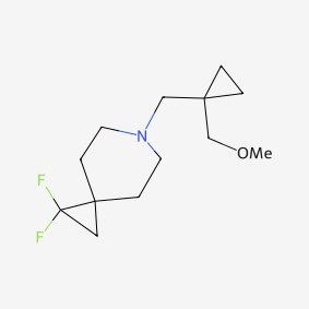 COCC1(CN2CCC3(CC2)CC3(F)F)CC1